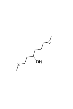 CSCCCC(O)CCSC